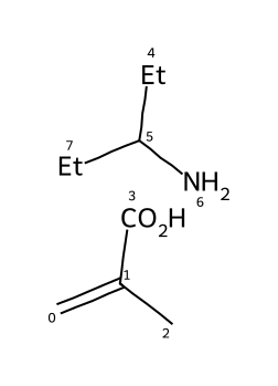 C=C(C)C(=O)O.CCC(N)CC